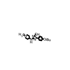 CC(C)COc1ccc(-c2nc(NC3CCN(C)CC3)nn2C)cc1